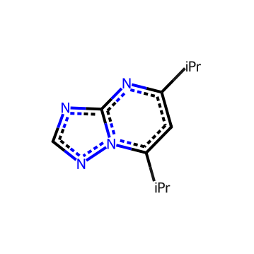 CC(C)c1cc(C(C)C)n2ncnc2n1